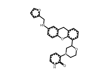 O=c1[nH]cccc1N1CCOC(c2cccc3c2Oc2ccc(NCc4ccco4)cc2C3)C1